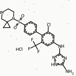 Cl.Nc1nc(Nc2cc(Cl)c(-c3ccc(S(=O)(=O)N4CCNCC45CC5)cc3)c(C(F)(F)F)c2)n[nH]1